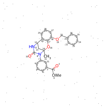 COC(=O)c1cccc(N2C(=O)NC3CC2(C)Oc2c(OCc4ccccc4)cccc23)c1